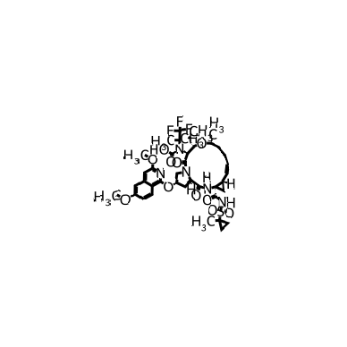 CC[C@@H]1O[C@H](C)CC/C=C\[C@@H]2C[C@@]2(C(=O)NS(=O)(=O)C2(C)CC2)NC(=O)[C@@H]2C[C@@H](Oc3nc(OC)cc4cc(OC)ccc34)CN2C(=O)[C@H]1N(C(=O)O)C(C)(C)C(F)(F)F